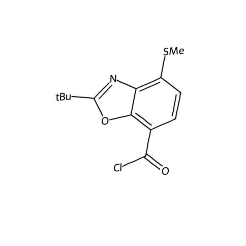 CSc1ccc(C(=O)Cl)c2oc(C(C)(C)C)nc12